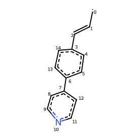 [CH2]/C=C/c1ccc(-c2ccncc2)cc1